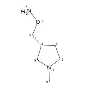 CN1CC[C@@H](CON)C1